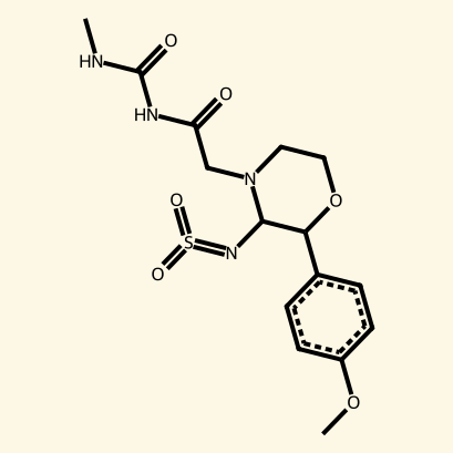 CNC(=O)NC(=O)CN1CCOC(c2ccc(OC)cc2)C1N=S(=O)=O